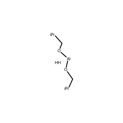 CC(C)C[O][Al][O]CC(C)C.[HH]